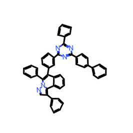 c1ccc(-c2ccc(-c3nc(-c4ccccc4)nc(-c4cccc(-c5c(-c6ccccc6)n6ncc(-c7ccccc7)c6c6ccccc56)c4)n3)cc2)cc1